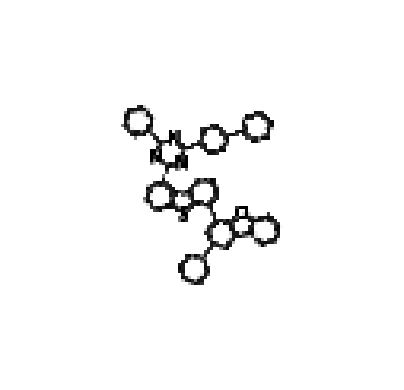 c1ccc(-c2ccc(-c3nc(-c4ccccc4)nc(-c4cccc5sc6c(-c7cc(-c8ccccc8)cc8c7oc7ccccc78)cccc6c45)n3)cc2)cc1